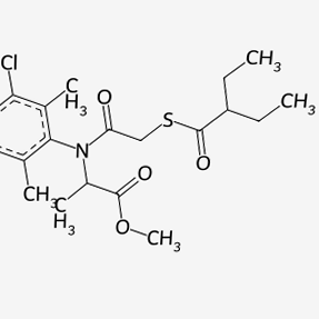 CCC(CC)C(=O)SCC(=O)N(c1c(C)ccc(Cl)c1C)C(C)C(=O)OC